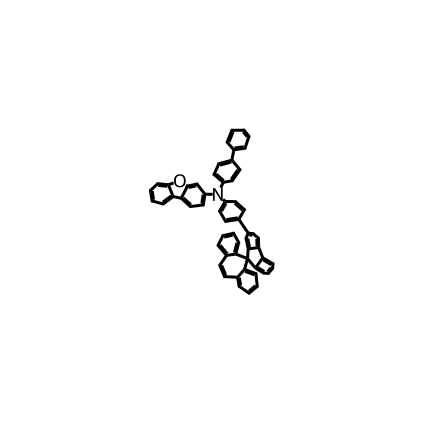 C1=Cc2ccccc2C2(c3ccccc31)c1ccccc1-c1ccc(-c3ccc(N(c4ccc(-c5ccccc5)cc4)c4ccc5c(c4)oc4ccccc45)cc3)cc12